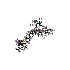 C/C=C(/C)C(=O)O[C@H]1[C@H](OC(=O)/C(C)=C\C)[C@@]2(CO)C(CC1(C)C)C1=CCC3[C@@]4(C)CC[C@H](O[C@H](OC(C(=O)O)[C@@H](O)CO[C@@H]5O[C@@H](CO)C(O)[C@@H]5O)[C@H](C)O[C@@H]5OC(CO)[C@@H](O)C(O)[C@@H]5O)[C@](C)(CO)C4CC[C@@]3(C)[C@]1(C)C[C@H]2O